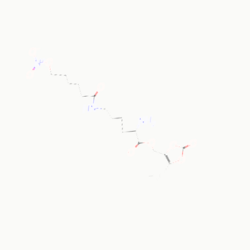 Cc1oc(=O)oc1COC(=O)C(N)CCCCNC(=O)CCCCCO[N+](=O)[O-]